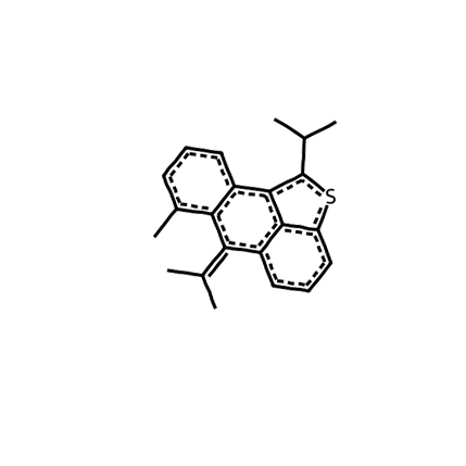 CC(C)=c1c2cccc3sc(C(C)C)c(c4cccc(C)c14)c32